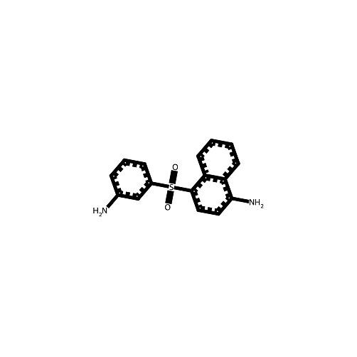 Nc1cccc(S(=O)(=O)c2ccc(N)c3ccccc23)c1